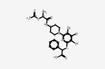 CCc1c(C#N)c(SC(C(N)=O)c2ccccc2)nc(N2CCC(NC(=O)C(N)OC(=O)C(F)(F)F)CC2)c1C#N